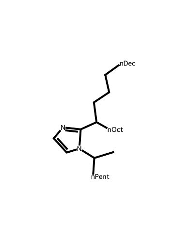 CCCCCCCCCCCCCC(CCCCCCCC)c1nccn1C(C)CCCCC